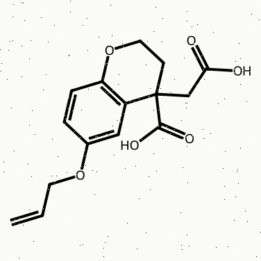 C=CCOc1ccc2c(c1)C(CC(=O)O)(C(=O)O)CCO2